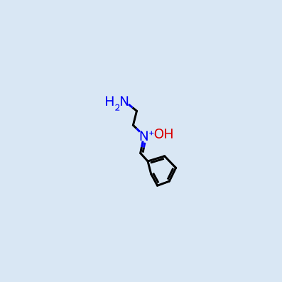 NCC[N+](O)=Cc1ccccc1